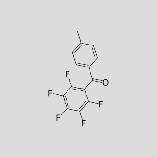 Cc1ccc(C(=O)c2c(F)c(F)c(F)c(F)c2F)cc1